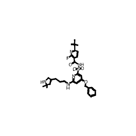 CC1(C)CC(CCCNc2cc(OCc3ccccc3)cc(S(=O)(=O)NC(=O)c3ccc(C(C)(C)C)nc3F)n2)CN1